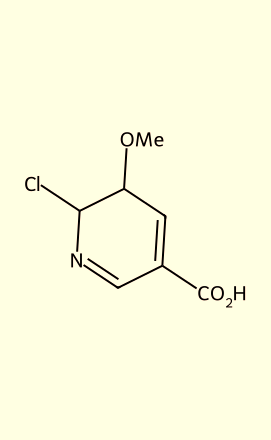 COC1C=C(C(=O)O)C=NC1Cl